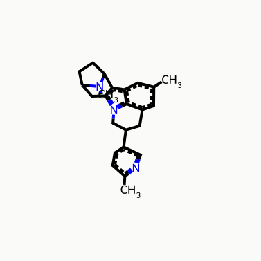 Cc1cc2c3c(c1)c1c(n3CC(c3ccc(C)nc3)C2)CC2CCC1N2C